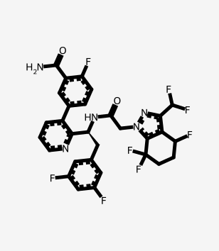 NC(=O)c1cc(-c2cccnc2[C@H](Cc2cc(F)cc(F)c2)NC(=O)Cn2nc(C(F)F)c3c2C(F)(F)CCC3F)ccc1F